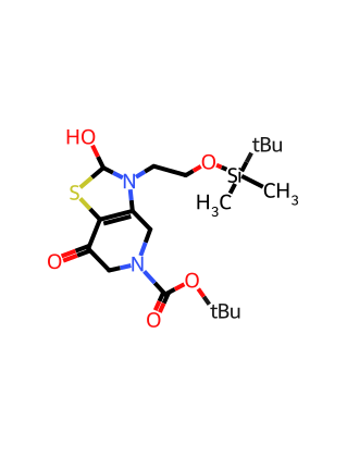 CC(C)(C)OC(=O)N1CC(=O)C2=C(C1)N(CCO[Si](C)(C)C(C)(C)C)C(O)S2